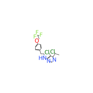 CC(Cl)c1ncnc(NCCc2ccc(OCC(F)(F)F)cc2)c1Cl